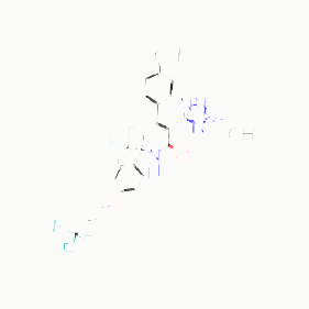 CCn1nnc(C2=C(c3ccc(C)cc3)CC(c3ccc(OCCCC(F)(F)F)cc3)(C(F)(F)F)NC2=O)n1